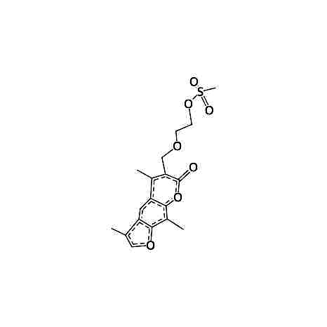 Cc1coc2c(C)c3oc(=O)c(COCCOS(C)(=O)=O)c(C)c3cc12